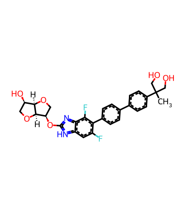 CC(CO)(CO)c1ccc(-c2ccc(-c3c(F)cc4[nH]c(O[C@@H]5CO[C@H]6[C@@H]5OC[C@H]6O)nc4c3F)cc2)cc1